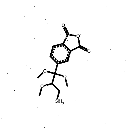 COC(C[SiH3])C(OC)(OC)c1ccc2c(c1)C(=O)OC2=O